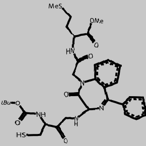 COC(=O)[C@H](CCSC)NC(=O)CN1C(=O)C(NCC(=O)C(CS)NC(=O)OC(C)(C)C)N=C(c2ccccc2)c2ccccc21